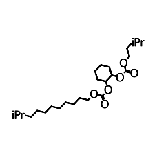 CC(C)CCCCCCCCCOC(=O)OC1CCCCC1OC(=O)OCCC(C)C